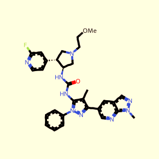 COCCN1C[C@@H](NC(=O)Nc2c(C)c(-c3cnc4c(cnn4C)c3)nn2-c2ccccc2)[C@H](c2ccnc(F)c2)C1